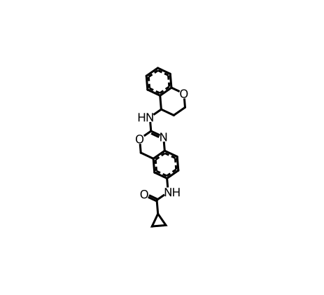 O=C(Nc1ccc2c(c1)COC(NC1CCOc3ccccc31)=N2)C1CC1